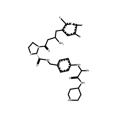 CC(C)C(Nc1ccc(CNC(=O)[C@@H]2SCCN2C(=O)CC(N)Cc2cc(F)c(F)cc2F)cc1)C(=O)NC1CCNCC1